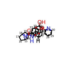 O=C(NC1[C@@H]2CC3C[C@H]1CC(O)(C3)C2)N1C2CCC1CC(c1ccc(Oc3ccccn3)cc1)C2